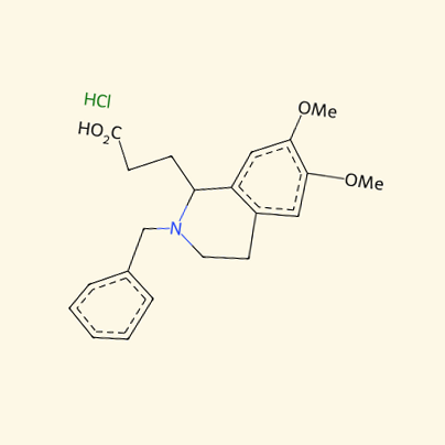 COc1cc2c(cc1OC)C(CCC(=O)O)N(Cc1ccccc1)CC2.Cl